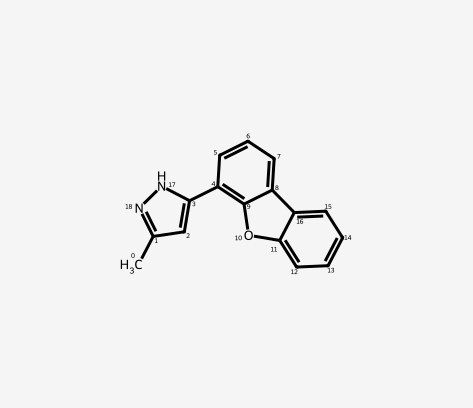 Cc1cc(-c2cccc3c2oc2ccccc23)[nH]n1